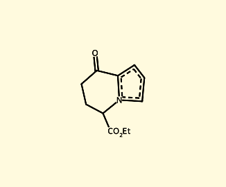 CCOC(=O)C1CCC(=O)c2cccn21